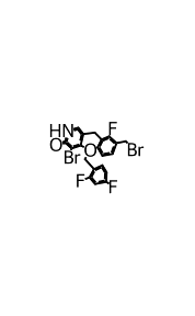 O=c1[nH]cc(Cc2cccc(CBr)c2F)c(OCc2ccc(F)cc2F)c1Br